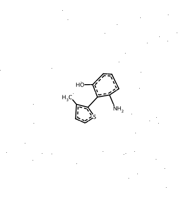 Cc1ccsc1-c1c(N)cccc1O